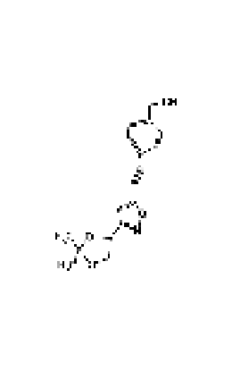 CC1(C)OCC(c2cc(C#Cc3ccc(CO)cc3)on2)O1